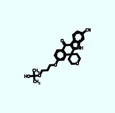 CC(C)(O)OCCCOc1ccc2c(c1)C1(CCOCC1)c1[nH]c3cc(C#N)ccc3c1C2=O